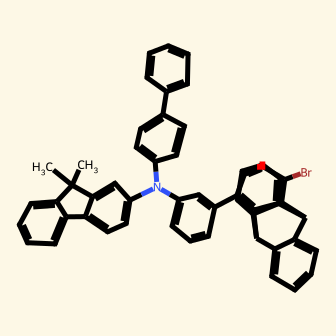 CC1(C)c2ccccc2-c2ccc(N(c3ccc(-c4ccccc4)cc3)c3cccc(-c4ccc(Br)c5c4C4c6ccccc6C5c5ccccc54)c3)cc21